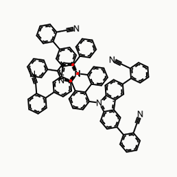 N#Cc1ccccc1-c1ccc2c(c1)c1cc(-c3ccccc3C#N)ccc1n2-c1ccccc1-c1c(-c2nc(-c3ccccc3)cc(-c3ccccc3)n2)cccc1-n1c2ccc(-c3ccccc3C#N)cc2c2cc(-c3ccccc3C#N)ccc21